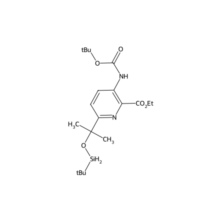 CCOC(=O)c1nc(C(C)(C)O[SiH2]C(C)(C)C)ccc1NC(=O)OC(C)(C)C